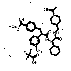 CC(=N)N1CCC(CNC(=O)[C@@H](NC(=O)C(Cc2ccc(C(=N)NO)cc2)c2cccc(C(F)(F)F)c2)C2CCCCC2)CC1.O=C(O)C(F)(F)F